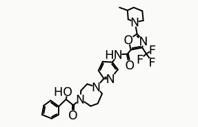 CC1CCCN(c2nc(C(F)(F)F)c(C(=O)Nc3ccc(N4CCCN(C(=O)C(O)c5ccccc5)CC4)nc3)o2)C1